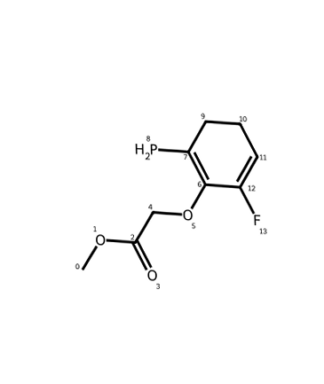 COC(=O)COC1=C(P)CCC=C1F